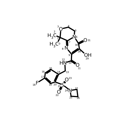 CC1(C)OCCn2c1nc(C(=O)NCc1ccc(F)cc1S(=O)(=O)N1CCC1)c(O)c2=O